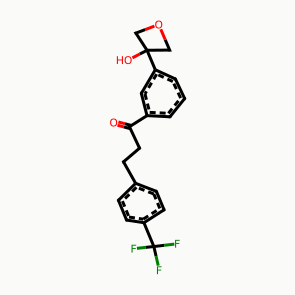 O=C(CCc1ccc(C(F)(F)F)cc1)c1cccc(C2(O)COC2)c1